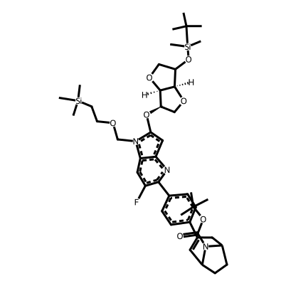 CC(C)(C)OC(=O)N1C2C=C(c3ccc(-c4nc5cc(O[C@@H]6CO[C@@H]7C(O[Si](C)(C)C(C)(C)C)CO[C@@H]76)n(COCC[Si](C)(C)C)c5cc4F)cc3)CC1CC2